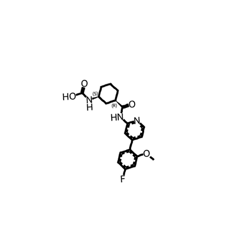 COc1cc(F)ccc1-c1ccnc(NC(=O)[C@@H]2CCC[C@H](NC(=O)O)C2)c1